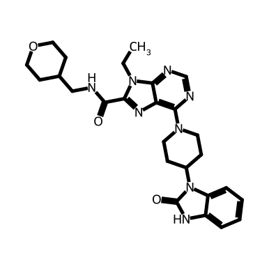 CCn1c(C(=O)NCC2CCOCC2)nc2c(N3CCC(n4c(=O)[nH]c5ccccc54)CC3)ncnc21